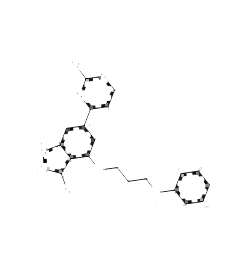 Nc1nccc(-c2cc(OCCCOc3ccccc3)c3c(N)n[nH]c3c2)n1